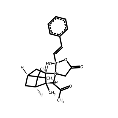 CC(=O)C[N+]1([C@@H]2C[C@@H]3C[C@H]([C@H]2C)C3(C)C)CC(=O)O[B-]1(O)/C=C/c1ccccc1